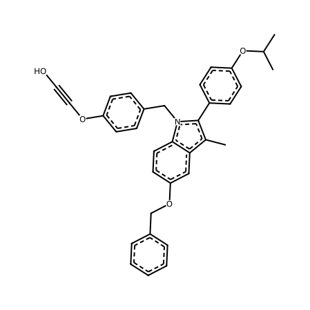 Cc1c(-c2ccc(OC(C)C)cc2)n(Cc2ccc(OC#CO)cc2)c2ccc(OCc3ccccc3)cc12